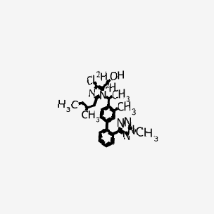 [2H]C([2H])(O)c1c(Cl)nc(CC(C)CC)n1C(C)c1ccc(-c2ccccc2-c2nnn(C)n2)cc1C